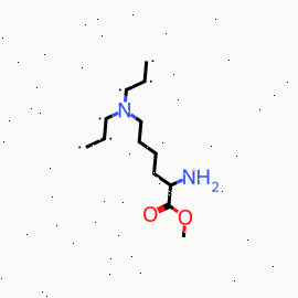 [CH2][CH][CH]N([CH][CH][CH2])CCCCC(N)C(=O)OC